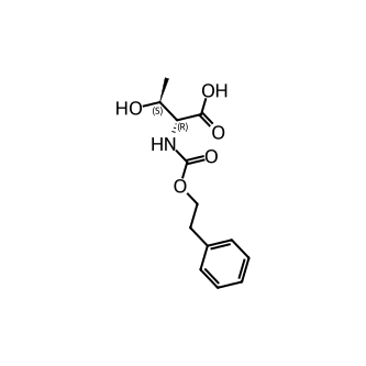 C[C@H](O)[C@@H](NC(=O)OCCc1ccccc1)C(=O)O